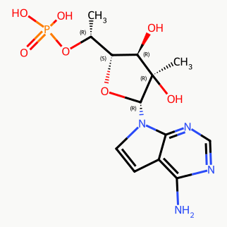 C[C@@H](OP(=O)(O)O)[C@H]1O[C@@H](n2ccc3c(N)ncnc32)[C@](C)(O)[C@@H]1O